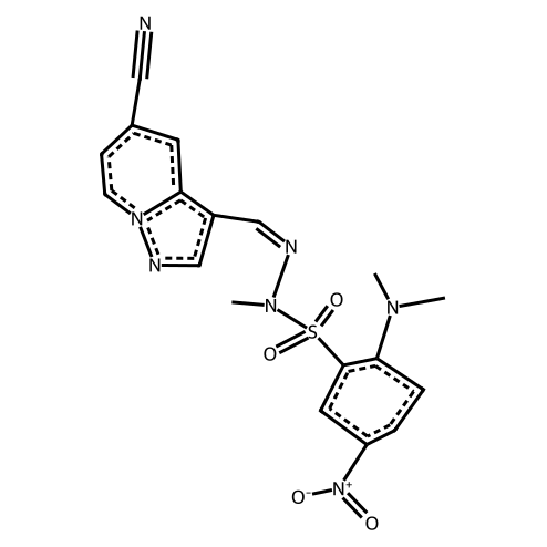 CN(C)c1ccc([N+](=O)[O-])cc1S(=O)(=O)N(C)/N=C\c1cnn2ccc(C#N)cc12